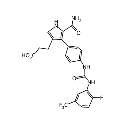 NC(=O)c1[nH]cc(CCC(=O)O)c1-c1ccc(NC(=O)Nc2cc(C(F)(F)F)ccc2F)cc1